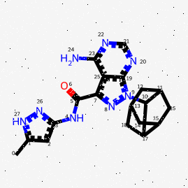 Cc1cc(NC(=O)c2nn(C3C4CC5CC(C4)C3C5)c3ncnc(N)c23)n[nH]1